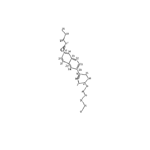 CCCCCCC1CC=C(c2ccc3cc(OCCCC)ccc3c2)CC1